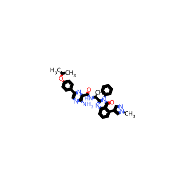 CC(C)Oc1ccc(-c2cnc(N)c(C(=O)N[C@@H](C)c3nc4cccc(-c5cnn(C)c5)c4c(=O)n3-c3ccccc3)n2)cc1